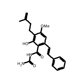 C=C(C)CCc1c(OC)cc(C=Cc2ccccc2)c(C(=O)NC(N)=O)c1O